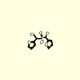 O=P(Cl)(C(Cl)c1ccco1)C(Cl)c1ccco1